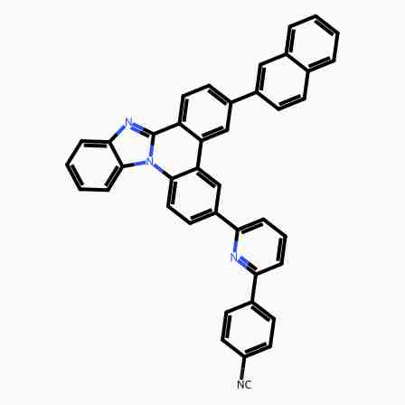 [C-]#[N+]c1ccc(-c2cccc(-c3ccc4c(c3)c3cc(-c5ccc6ccccc6c5)ccc3c3nc5ccccc5n43)n2)cc1